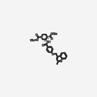 COC(=O)[C@H]1CCN(C(=O)OC(C)(C)C)C[C@H]1NC(=O)c1ccc(OCc2cc(C)nc3ccccc23)cc1